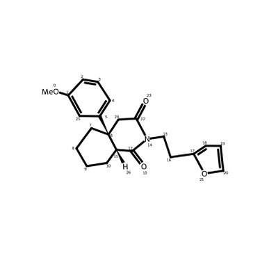 COc1cccc([C@]23CCCC[C@H]2C(=O)N(CCc2ccco2)C(=O)C3)c1